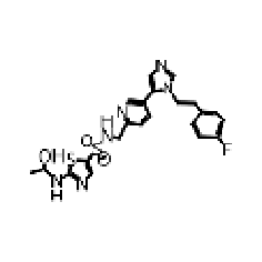 CC(O)Nc1ncc(S(=O)(=O)NCc2ccc(-c3cncn3CCc3ccc(F)cc3)cn2)s1